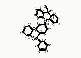 CC1(C)c2ccccc2N(c2ccc3c(c2)-c2ccccc2OB3c2ccccc2)c2ccccc21